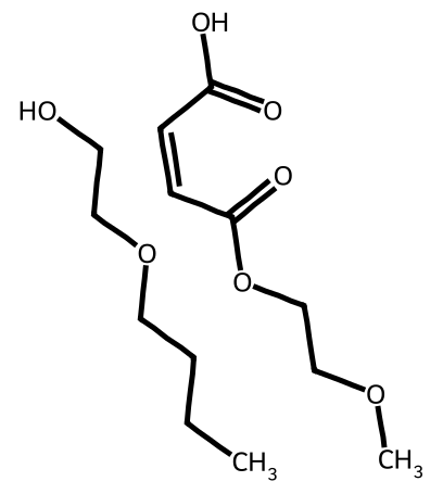 CCCCOCCO.COCCOC(=O)/C=C\C(=O)O